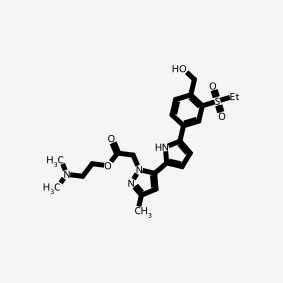 CCS(=O)(=O)c1cc(-c2ccc(-c3cc(C)nn3CC(=O)OCCN(C)C)[nH]2)ccc1CO